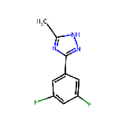 Cc1nc(-c2cc(F)cc(F)c2)n[nH]1